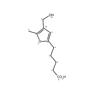 Cc1oc(CCCCC(=O)O)cc1CO